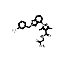 Cc1nn(-c2cccc3nn(Cc4cccc(C(F)(F)F)c4)cc23)c(C)c1C(=O)NCC(N)=O